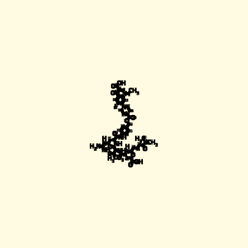 CCn1cc(C(=O)O)c(=O)c2cc(F)c(N3CCN(C(=O)OCc4ccc(NC(=O)[C@H](CCNC(=N)N)NC(=O)[C@@H](NC(=O)[C@H](CCC(=O)O)NC(=O)CCCC(=O)N(C)C)C(C)C)cc4)CC3)cc21